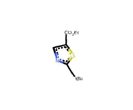 CCOC(=O)c1cnc(C(C)(C)C)s1